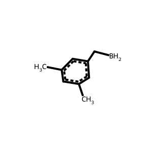 BCc1cc(C)cc(C)c1